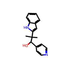 CC(C)(c1cc2ccccc2[nH]1)C(O)c1ccncc1